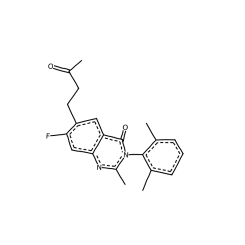 CC(=O)CCc1cc2c(=O)n(-c3c(C)cccc3C)c(C)nc2cc1F